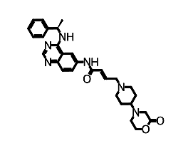 C[C@@H](Nc1ncnc2ccc(NC(=O)C=CCN3CCC(N4CCOC(=O)C4)CC3)cc12)c1ccccc1